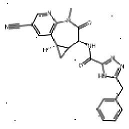 CN1C(=O)[C@@H](NC(=O)c2nnc(Cc3ccccc3)[nH]2)C2C[C@H]2c2cc(C#N)cnc21